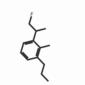 CCCc1cccc([C](C)CF)c1C